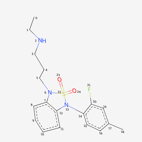 CCNCCCN1c2ccccc2N(c2ccc(C)cc2F)S1(=O)=O